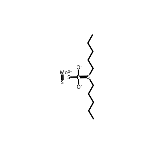 CCCCCS(CCCCC)=P([O-])([O-])[S-].[S]=[Mo+3]